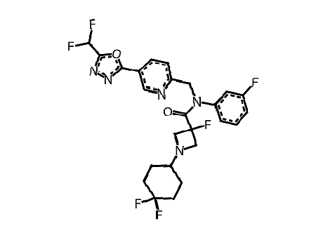 O=C(N(Cc1ccc(-c2nnc(C(F)F)o2)cn1)c1cccc(F)c1)C1(F)CN(C2CCC(F)(F)CC2)C1